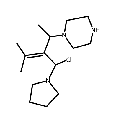 CC(C)=C(C(C)N1CCNCC1)C(Cl)N1CCCC1